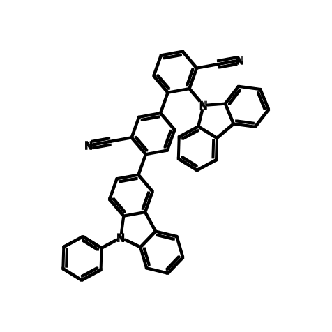 N#Cc1cc(-c2cccc(C#N)c2-n2c3ccccc3c3ccccc32)ccc1-c1ccc2c(c1)c1ccccc1n2-c1ccccc1